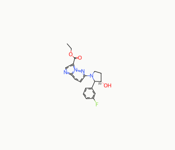 CCOC(=O)c1cnc2ccc(N3CC[C@H](O)C3c3cccc(F)c3)nn12